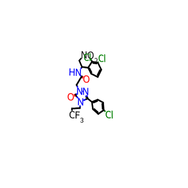 O=C(Cn1nc(-c2ccc(Cl)cc2)n(CCC(F)(F)F)c1=O)NC(C[N+](=O)[O-])c1cccc(Cl)c1Cl